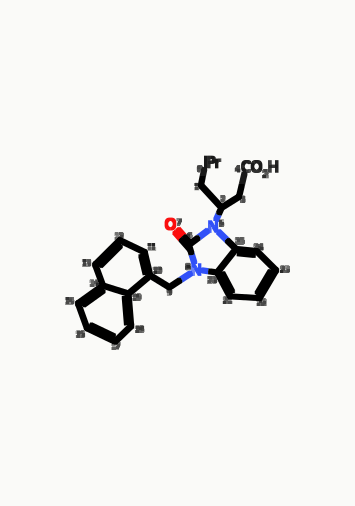 CC(C)CC(CC(=O)O)n1c(=O)n(Cc2cccc3ccccc23)c2ccccc21